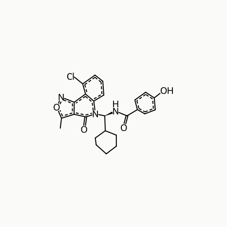 Cc1onc2c1c(=O)n([C@@H](NC(=O)c1ccc(O)cc1)C1CCCCC1)c1cccc(Cl)c21